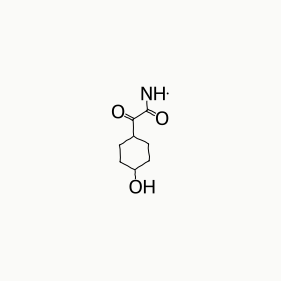 [NH]C(=O)C(=O)C1CCC(O)CC1